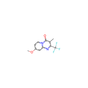 COc1ccn2c(=O)c(C)c(C(F)(F)F)nc2c1